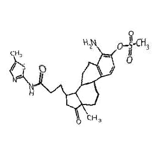 Cc1cnc(NC(=O)CCC2CC(=O)C3(C)CCC4c5ccc(OS(C)(=O)=O)c(N)c5CCC4C23)s1